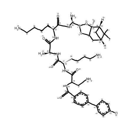 CC1(C)[C@@H]2CC3OB([C@H](N)NC(=O)[C@H](CCCCN)NC(=O)[C@H](N)NC(=O)[C@H](CCCCN)NC(=O)C(CN)NC(=O)c4ccc(-c5ccc(Cl)cc5)cc4)O[C@@]3(C)[C@H]1C2